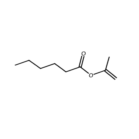 C=C(C)OC(=O)CCCCC